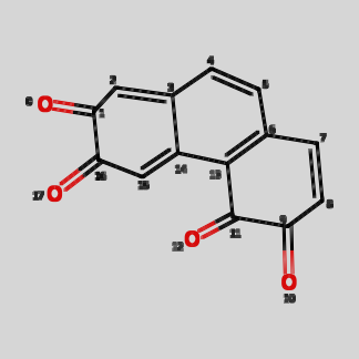 O=c1cc2ccc3ccc(=O)c(=O)c3c2cc1=O